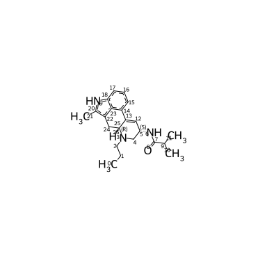 CCCN1C[C@@H](NC(=O)C(C)C)C=C2c3cccc4[nH]c(C)c(c34)C[C@H]21